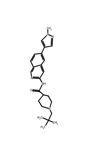 Cn1cc(-c2ccc3cnc(NC(=O)C4CCN(CC(C)(C)C)CC4)cc3c2)cn1